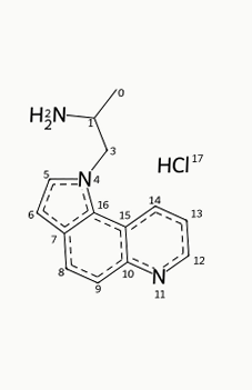 CC(N)Cn1ccc2ccc3ncccc3c21.Cl